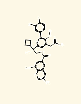 CCOc1c(CC(N)=O)cc([C@@](O)(CNC(=O)c2cc(OC)c3ncc(C(F)(F)F)cc3c2)C2CCC2)nc1-c1ccc(F)c(Cl)c1